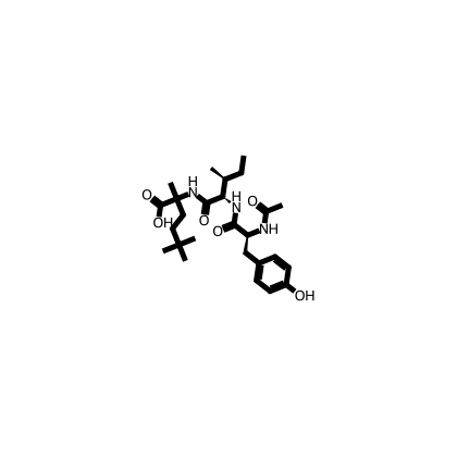 CC[C@H](C)[C@H](NC(=O)[C@H](Cc1ccc(O)cc1)NC(C)=O)C(=O)NC(C)(CCC(C)(C)C)C(=O)O